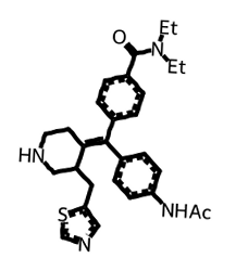 CCN(CC)C(=O)c1ccc(C(=C2CCNCC2Cc2cncs2)c2ccc(NC(C)=O)cc2)cc1